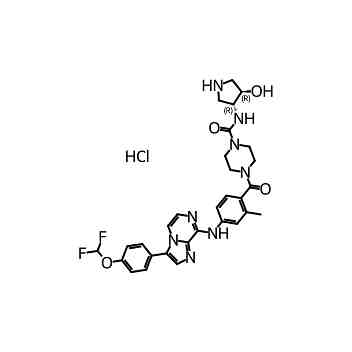 Cc1cc(Nc2nccn3c(-c4ccc(OC(F)F)cc4)cnc23)ccc1C(=O)N1CCN(C(=O)N[C@@H]2CNC[C@H]2O)CC1.Cl